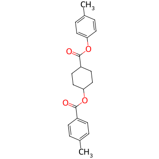 Cc1ccc(OC(=O)C2CCC(OC(=O)c3ccc(C)cc3)CC2)cc1